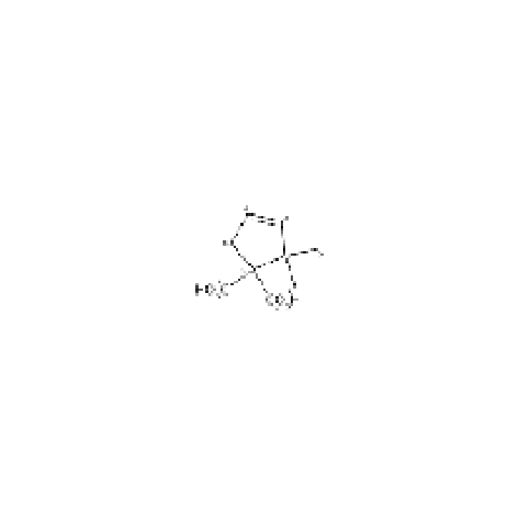 CC1(C)C=CCC1(C(=O)O)C(=O)O